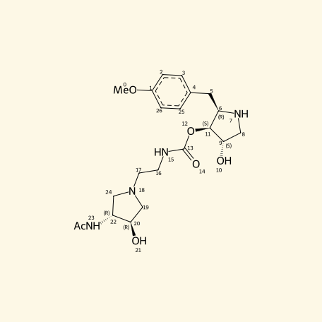 COc1ccc(C[C@H]2NC[C@H](O)[C@H]2OC(=O)NCCN2C[C@@H](O)[C@H](NC(C)=O)C2)cc1